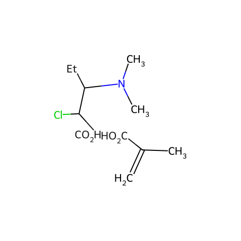 C=C(C)C(=O)O.CCC(C(Cl)C(=O)O)N(C)C